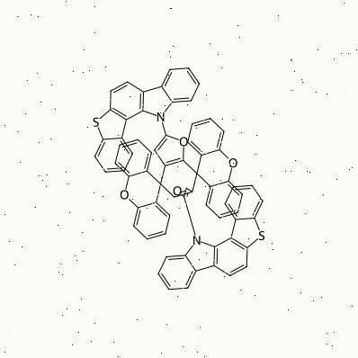 c1ccc2c(c1)Oc1ccccc1C21c2cc(-n3c4ccccc4c4ccc5sc6ccccc6c5c43)oc2C2(c3ccccc3Oc3ccccc32)c2cc(-n3c4ccccc4c4ccc5sc6ccccc6c5c43)oc21